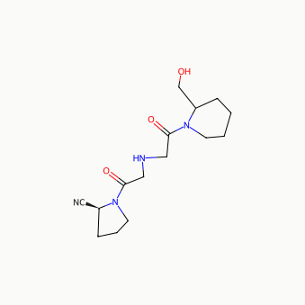 N#C[C@@H]1CCCN1C(=O)CNCC(=O)N1CCCCC1CO